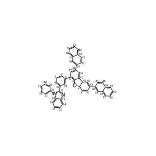 C1=CC2Oc3c(-c4cccc(-c5nc6ccccc6n5-c5ccccc5)c4)cc(-c4ccc5ccccc5c4)cc3C2C=C1c1ccc2ccccc2c1